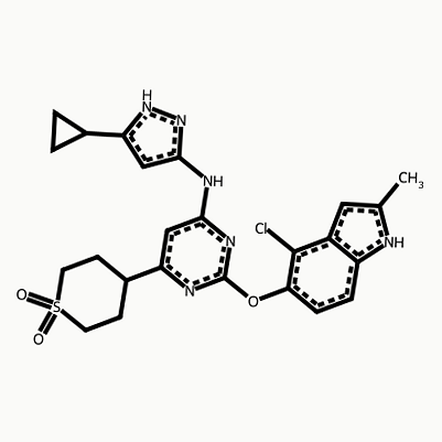 Cc1cc2c(Cl)c(Oc3nc(Nc4cc(C5CC5)[nH]n4)cc(C4CCS(=O)(=O)CC4)n3)ccc2[nH]1